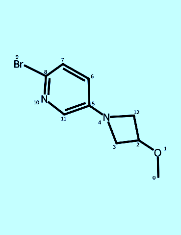 COC1CN(c2ccc(Br)nc2)C1